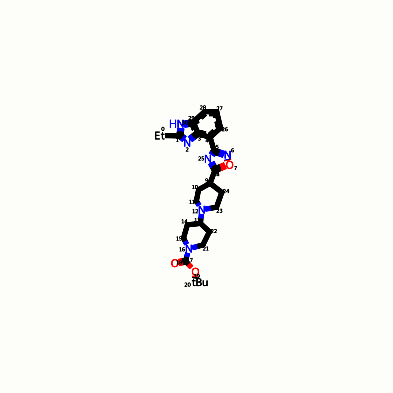 CCc1nc2c(-c3noc(C4CCN(C5CCN(C(=O)OC(C)(C)C)CC5)CC4)n3)cccc2[nH]1